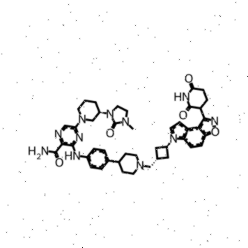 CN1CCN([C@@H]2CCCN(c3cnc(C(N)=O)c(Nc4ccc(C5CCN(C[C@H]6C[C@H](n7ccc8c9c(C%10CCC(=O)NC%10=O)noc9ccc87)C6)CC5)cc4)n3)C2)C1=O